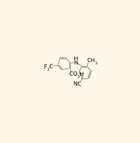 Cc1ccc(C#N)cc1Nc1ccc(C(F)(F)F)cc1C(=O)O